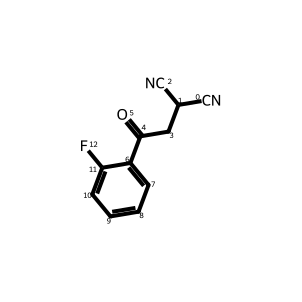 N#CC(C#N)CC(=O)c1ccccc1F